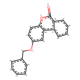 O=c1oc2ccc(OCc3ccccc3)cc2c2ccccc12